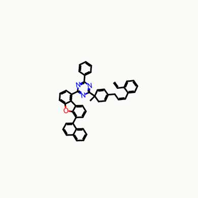 C=Cc1ccccc1/C=C\CC1=CCC(C)(c2nc(-c3ccccc3)nc(-c3cccc4oc5c(-c6cccc7ccccc67)cccc5c34)n2)C=C1